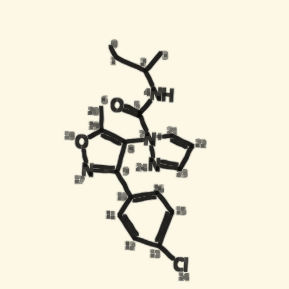 CCC(C)NC(=O)[N+]1(c2c(-c3ccc(Cl)cc3)noc2C)C=CC=N1